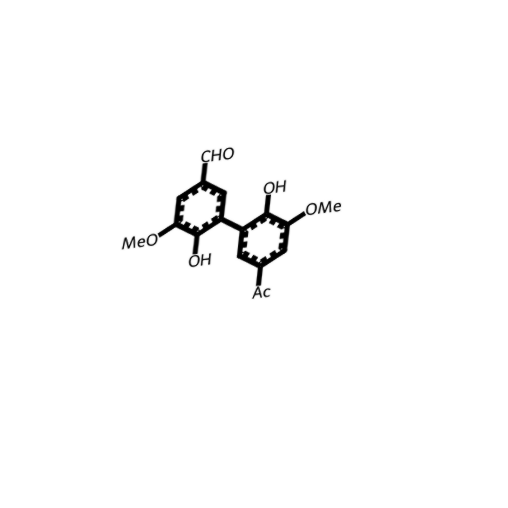 COc1cc(C=O)cc(-c2cc(C(C)=O)cc(OC)c2O)c1O